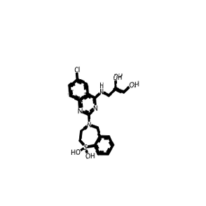 OCC(O)CNc1nc(N2CCS(O)(O)c3ccccc3C2)nc2ccc(Cl)cc12